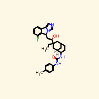 CCC1(C(O)CC2c3c(F)cccc3-c3cncn32)CC2CCC(NC(=O)Nc3ccc(C)cc3)[C@H](C2)C1